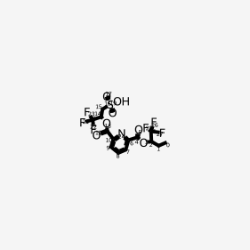 CCC(OC(=O)c1cccc(C(=O)OC(CS(=O)(=O)O)C(F)(F)F)n1)C(F)(F)F